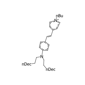 CCCCCCCCCCCCN(CCCCCCCCCCCC)c1ccc(/C=C/c2cc[n+](CCCC)cc2)cc1